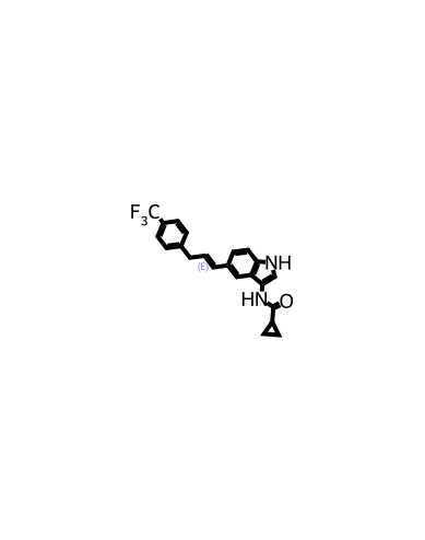 O=C(Nc1c[nH]c2ccc(/C=C/Cc3ccc(C(F)(F)F)cc3)cc12)C1CC1